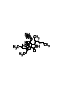 CCCCC(CC)CC(C(=O)O)C(CC(CC)CCCC)(C(=O)O)S(=O)(=O)O.N.N.N